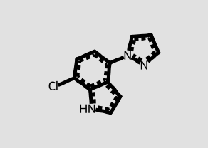 Clc1ccc(-n2cccn2)c2cc[nH]c12